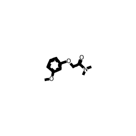 COc1cccc(OCC(=O)N(C)C)c1